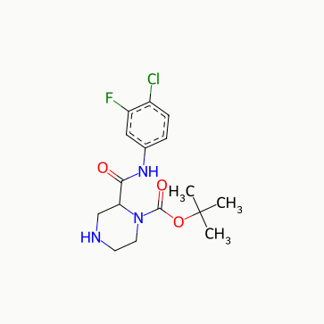 CC(C)(C)OC(=O)N1CCNCC1C(=O)Nc1ccc(Cl)c(F)c1